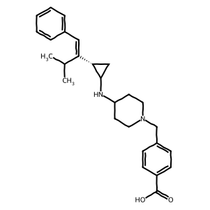 CC(C)/C(=C\c1ccccc1)[C@@H]1CC1NC1CCN(Cc2ccc(C(=O)O)cc2)CC1